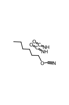 CCCCCCOC#N.N=C=O.N=C=O